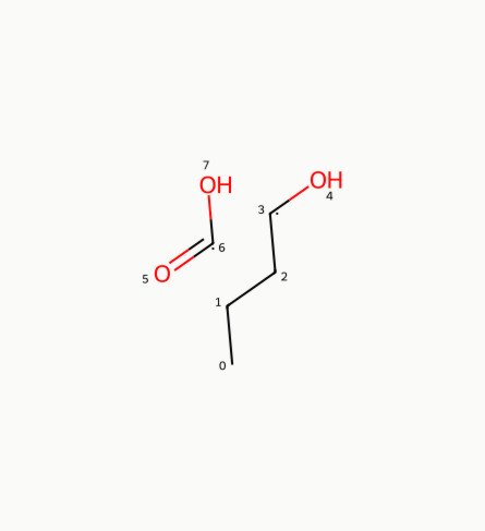 CCC[CH]O.O=[C]O